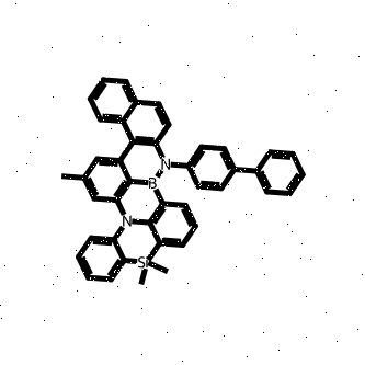 Cc1cc2c3c(c1)N1c4ccccc4[Si](C)(C)c4cccc(c41)B3N(c1ccc(-c3ccccc3)cc1)c1ccc3ccccc3c1-2